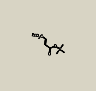 CCOC(=O)C=CC(=O)O[Si](C)(C)C